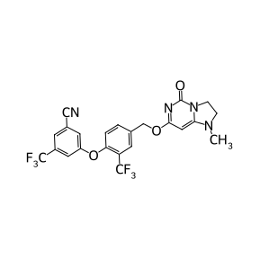 CN1CCn2c1cc(OCc1ccc(Oc3cc(C#N)cc(C(F)(F)F)c3)c(C(F)(F)F)c1)nc2=O